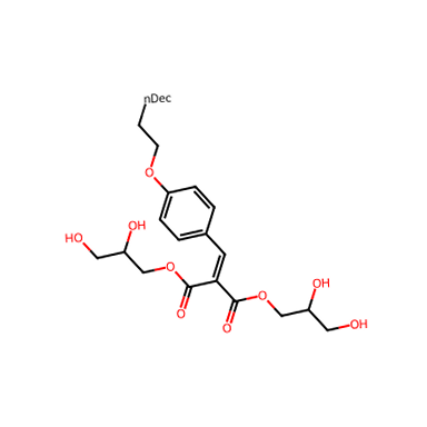 CCCCCCCCCCCCOc1ccc(C=C(C(=O)OCC(O)CO)C(=O)OCC(O)CO)cc1